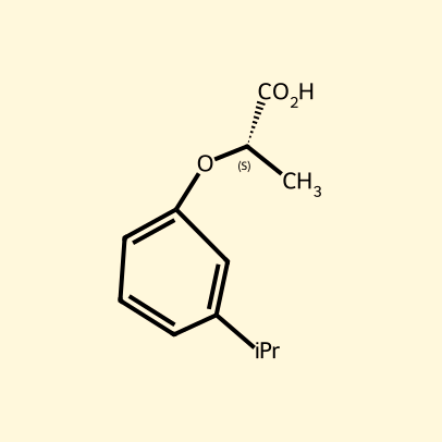 CC(C)c1cccc(O[C@@H](C)C(=O)O)c1